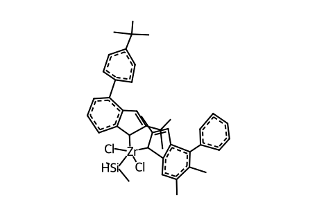 CC1=Cc2c(cc(C)c(C)c2-c2ccccc2)[CH]1[Zr]([Cl])([Cl])([CH]1C(C(C)C)=Cc2c(-c3ccc(C(C)(C)C)cc3)cccc21)[SiH](C)C